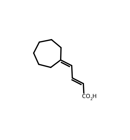 O=C(O)C=CC=C1CCCCCC1